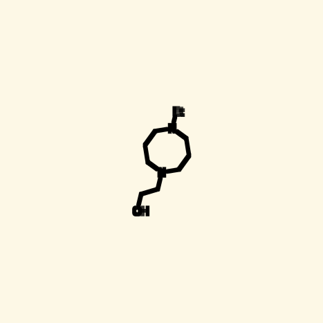 CCN1CCCN(CCO)CCC1